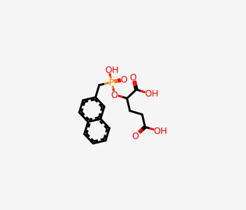 O=C(O)CCC(OP(=O)(O)Cc1ccc2ccccc2c1)C(=O)O